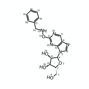 OC[C@H]1OC(n2cnc3cnc(ONCc4ccccc4)nc32)[C@H](O)[C@@H]1O